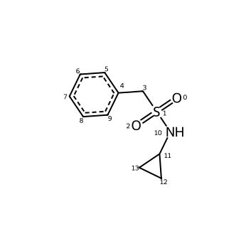 O=S(=O)(Cc1ccccc1)NC1CC1